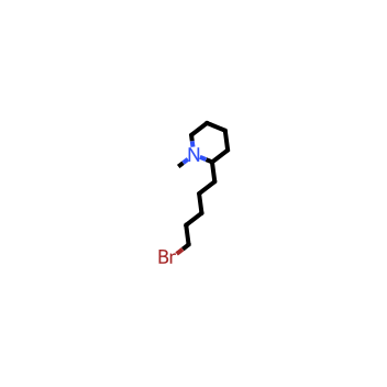 CN1CCCCC1CCCCCBr